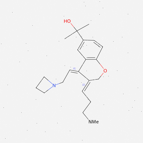 CNCC/C=C1\COc2ccc(C(C)(C)O)cc2\C1=C\CN1CCC1